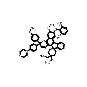 CCC1(CC)CCC2(CC1)c1ccccc1-c1c2c2c(c3cc(OC)c(Sc4c(C)cccc4C)cc13)OC(c1ccc(OC)cc1)(c1ccc(N3CCOCC3)cc1)C=C2